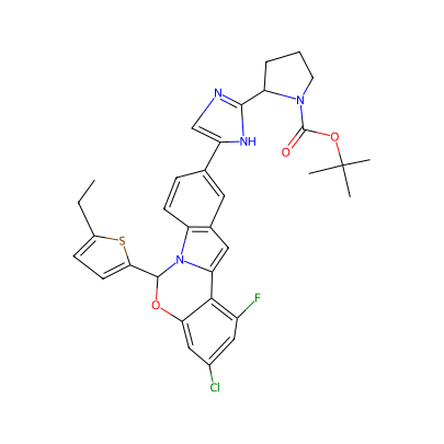 CCc1ccc(C2Oc3cc(Cl)cc(F)c3-c3cc4cc(-c5cnc(C6CCCN6C(=O)OC(C)(C)C)[nH]5)ccc4n32)s1